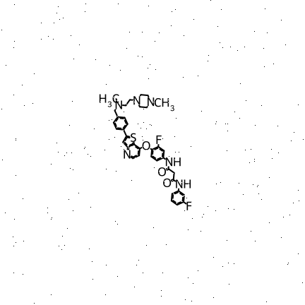 CN1CCN(CCN(C)Cc2ccc(-c3cc4nccc(Oc5ccc(NC(=O)CC(=O)Nc6cccc(F)c6)cc5F)c4s3)cc2)CC1